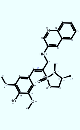 COc1cc(/C=C(/CNc2cnc3ccccc3c2)P2(=O)OC[C@H](C)N2C)cc(OC)c1O